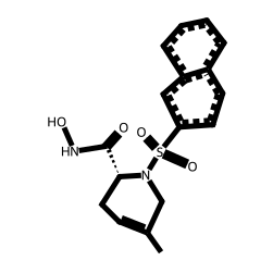 CC1=CC[C@H](C(=O)NO)N(S(=O)(=O)c2ccc3ccccc3c2)C1